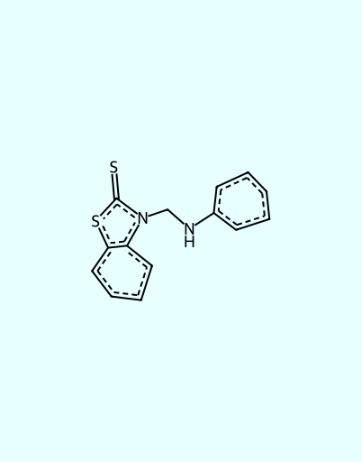 S=c1sc2ccccc2n1CNc1ccccc1